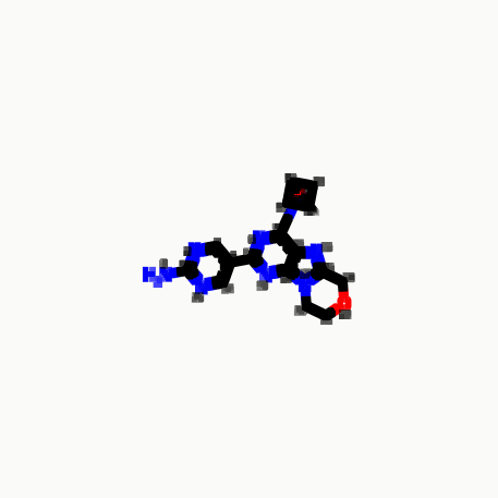 Nc1ncc(-c2nc(N3CC4CC3C4)c3nc4n(c3n2)CCOC4)cn1